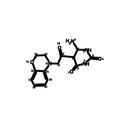 NC1NC(=O)NC(=O)C1C(=O)CN1CCOc2ccccc21